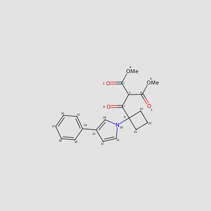 COC(=O)C(C(=O)OC)C(=O)C1(n2ccc(-c3ccccc3)c2)CCC1